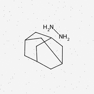 C1C2CC3CC1CC(C2)C3.NN